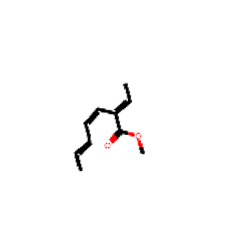 C/C=C/C=C\C(=C/C)C(=O)OC